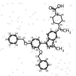 CN(c1ccc2c(-c3ccc(OCc4ccccc4)nc3OCc3ccccc3)nn(C)c2c1)C1CCN(C(=O)O)CC1